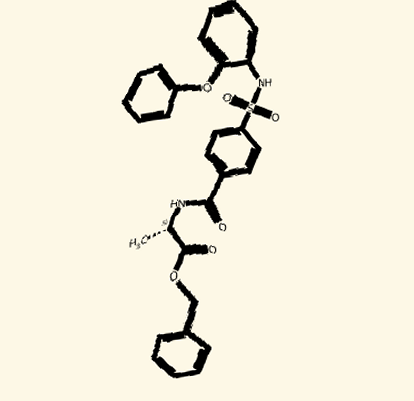 C[C@H](NC(=O)c1ccc(S(=O)(=O)Nc2ccccc2Oc2ccccc2)cc1)C(=O)OCc1ccccc1